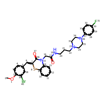 COc1ccc(/C=C2\Sc3ccccc3N(CC(=O)NCCCN3CCN(c4ccc(F)cc4)CC3)C2=O)cc1Br